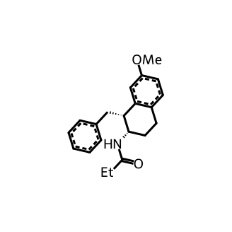 CCC(=O)N[C@H]1CCc2ccc(OC)cc2[C@H]1Cc1ccccc1